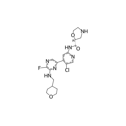 O=C(Nc1cc(-c2cnc(F)c(NCC3CCOCC3)n2)c(Cl)cn1)[C@H]1CNCCO1